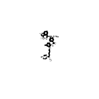 COc1cc(C(=O)N(C)c2ccc(C)cc2OCCCCC(=C=O)N2CCN(C)CC2)ccc1NC(=O)c1cccc2[nH]nc(O)c12